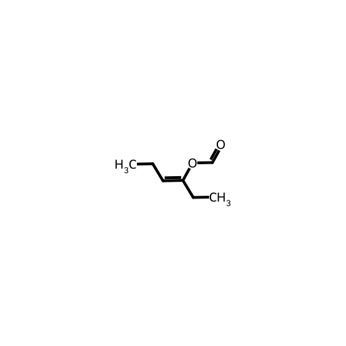 CCC=C(CC)OC=O